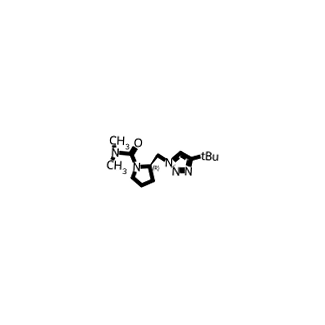 CN(C)C(=O)N1CCC[C@@H]1Cn1cc(C(C)(C)C)nn1